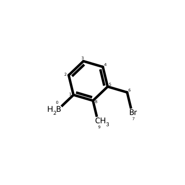 Bc1cccc(CBr)c1C